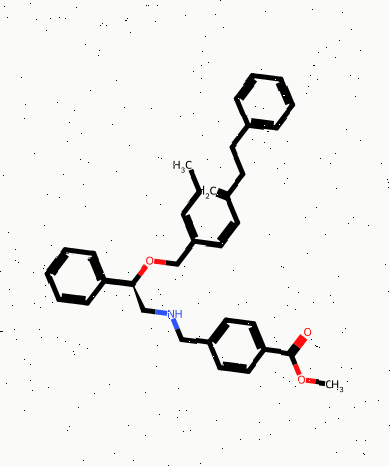 C=C(/C=C\C(=C/CC)CO[C@@H](CNCc1ccc(C(=O)OC)cc1)c1ccccc1)CCc1ccccc1